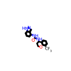 O=C(Nc1cccc2[nH]ncc12)NC1CCOc2c1cccc2C(F)(F)F